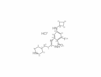 Cl.O=c1[nH]c(CSC2CCNCC2)nc2cc(NC3CCC3)cc(F)c12